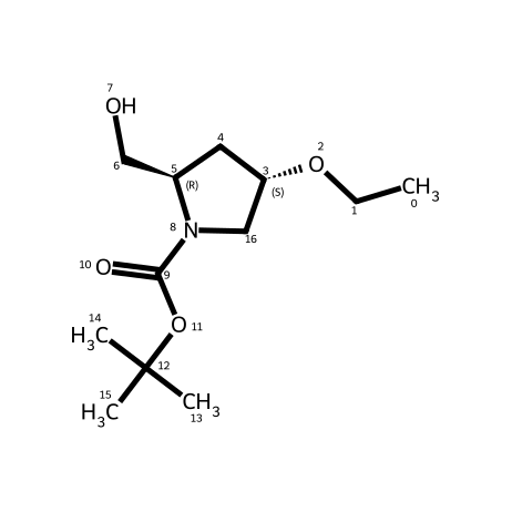 CCO[C@H]1C[C@H](CO)N(C(=O)OC(C)(C)C)C1